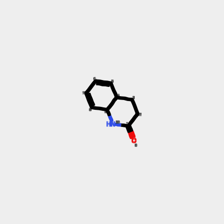 O=C1[C]CC2C=CC=CC2N1